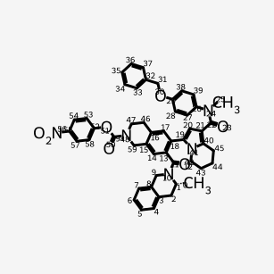 C[C@@H]1Cc2ccccc2CN1C(=O)c1cc2c(cc1-c1cc(C(=O)N(C)c3ccc(OCc4ccccc4)cc3)c3n1CCCC3)CCN(C(=O)Oc1ccc([N+](=O)[O-])cc1)C2